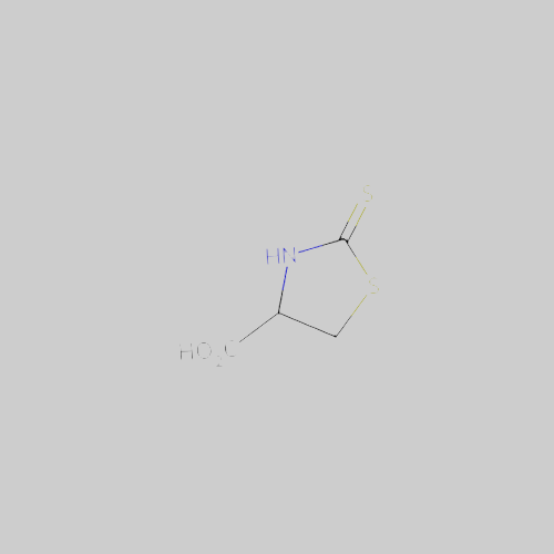 O=C(O)C1CSC(=S)N1